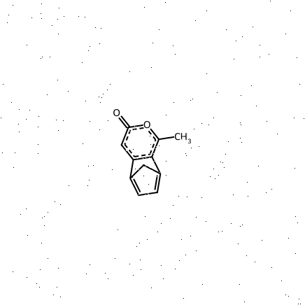 Cc1oc(=O)cc2c1C1=CC=C2C1